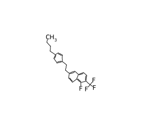 CCCCc1ccc(CCc2ccc3c(F)c(C(F)(F)F)ccc3c2)cc1